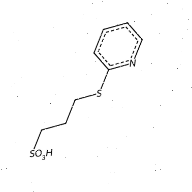 O=S(=O)(O)CCCSc1ccccn1